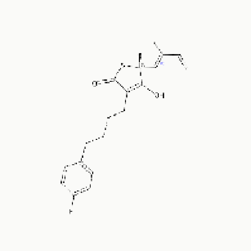 C=C/C(C)=C/[C@@]1(C)SC(=O)C(CCCCc2ccc(F)cc2)=C1O